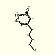 CCCCCc1cn[nH]c(=O)c1